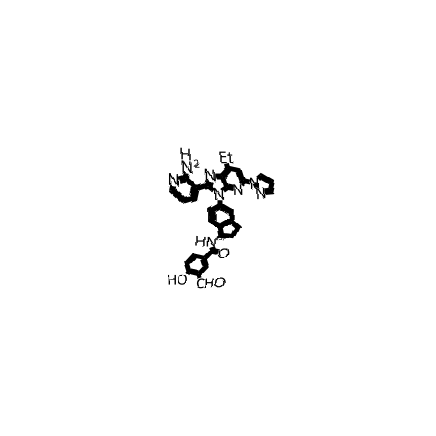 CCc1cc(-n2cccn2)nc2c1nc(-c1cccnc1N)n2-c1ccc2c(c1)CC[C@@H]2NC(=O)c1ccc(O)c(C=O)c1